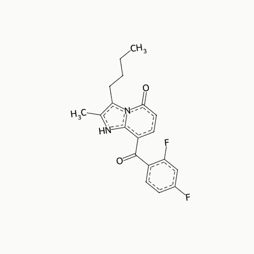 CCCCc1c(C)[nH]c2c(C(=O)c3ccc(F)cc3F)ccc(=O)n12